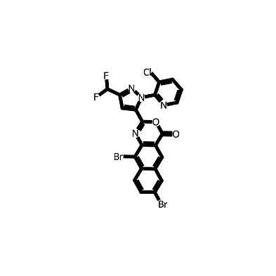 O=c1oc(-c2cc(C(F)F)nn2-c2ncccc2Cl)nc2c(Br)c3ccc(Br)cc3cc12